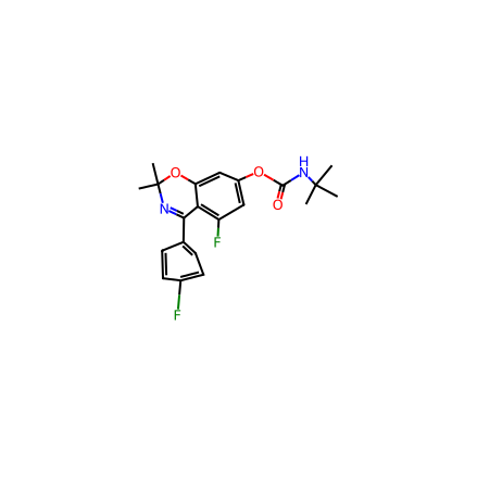 CC(C)(C)NC(=O)Oc1cc(F)c2c(c1)OC(C)(C)N=C2c1ccc(F)cc1